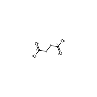 [O]C(=O)CCC([O])=O